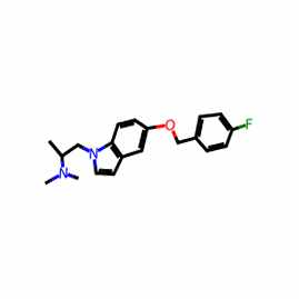 CC(Cn1ccc2cc(OCc3ccc(F)cc3)ccc21)N(C)C